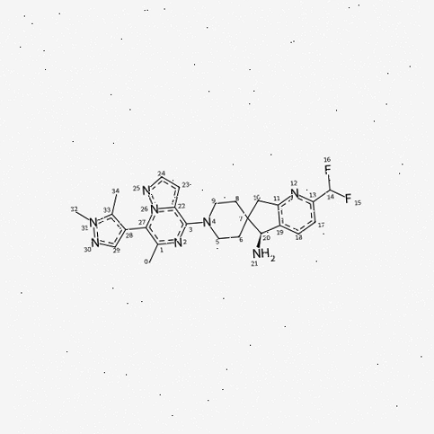 Cc1nc(N2CCC3(CC2)Cc2nc(C(F)F)ccc2[C@H]3N)c2ccnn2c1-c1cnn(C)c1C